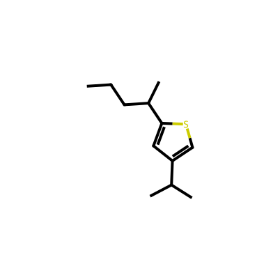 CCCC(C)c1cc(C(C)C)cs1